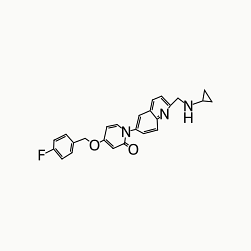 O=c1cc(OCc2ccc(F)cc2)ccn1-c1ccc2nc(CNC3CC3)ccc2c1